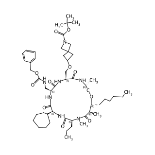 CCCCCC[C@H]1OC[C@@H](C)NC(=O)[C@H](COC2CC3(C2)CN(C(=O)OC(C)(C)C)C3)NC(=O)[C@H](CNC(=O)OCc2ccccc2)NC(=O)[C@H](C2CCCCCC2)NC(=O)[C@H](CCC)N(C)C(=O)[C@@H]1C